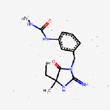 CCCNC(=O)Nc1cccc(CN2C(=N)NC(C)(CC(C)C)C2=O)c1